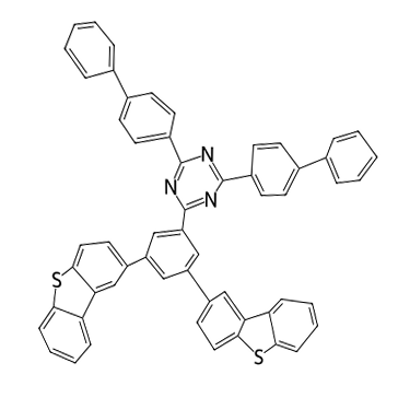 c1ccc(-c2ccc(-c3nc(-c4ccc(-c5ccccc5)cc4)nc(-c4cc(-c5ccc6sc7ccccc7c6c5)cc(-c5ccc6sc7ccccc7c6c5)c4)n3)cc2)cc1